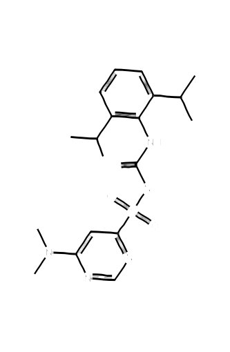 CC(C)c1cccc(C(C)C)c1NC(=O)NS(=O)(=O)c1cc(N(C)C)ncn1